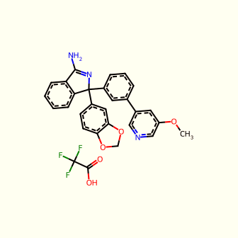 COc1cncc(-c2cccc(C3(c4ccc5c(c4)OCO5)N=C(N)c4ccccc43)c2)c1.O=C(O)C(F)(F)F